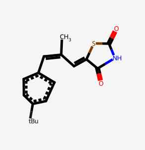 CC(=Cc1ccc(C(C)(C)C)cc1)C=C1SC(=O)NC1=O